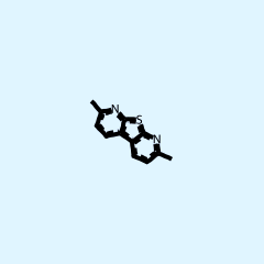 Cc1ccc2c(n1)sc1nc(C)ccc12